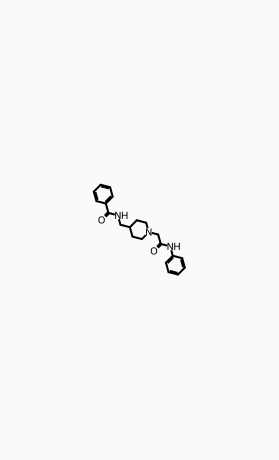 O=C(CN1CCC(CNC(=O)c2ccccc2)CC1)Nc1ccccc1